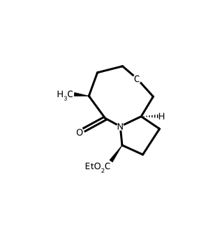 CCOC(=O)[C@@H]1CC[C@@H]2CCCC[C@H](C)C(=O)N21